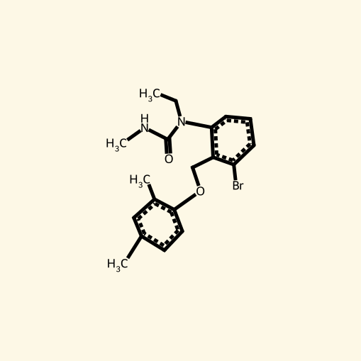 CCN(C(=O)NC)c1cccc(Br)c1COc1ccc(C)cc1C